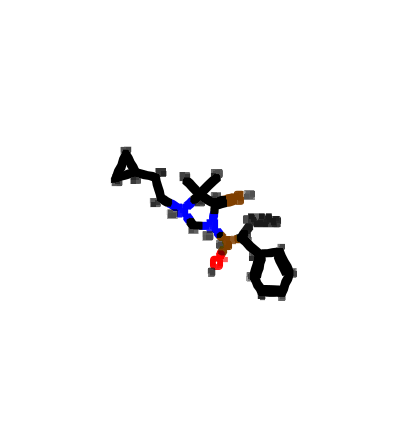 CNC(c1ccccc1)[S+]([O-])N1CN(CCC2CC2)C(C)(C)C1=S